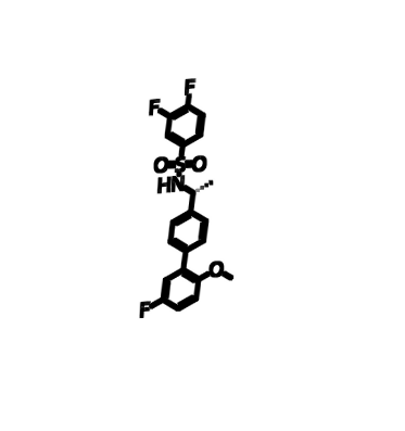 COc1ccc(F)cc1-c1ccc([C@@H](C)NS(=O)(=O)c2ccc(F)c(F)c2)cc1